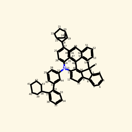 CC1(C)c2ccccc2-c2ccc(N(c3ccc(C4CC5CCC4C5)cc3)c3cccc(-c4ccccc4C4CCCCC4)c3)c(-c3cccc4ccccc34)c21